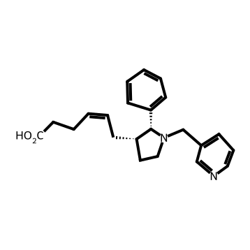 O=C(O)CC/C=C\C[C@H]1CCN(Cc2cccnc2)[C@H]1c1ccccc1